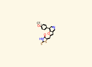 O=C1NC(=S)SC1=Cc1cc2cncc(-c3ccc(OC(F)(F)F)cc3)c2o1